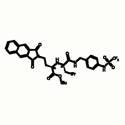 CC(C)C[C@H](N[C@H](CCN1C(=O)c2cc3ccccc3cc2C1=O)C(=O)OC(C)(C)C)C(=O)NCc1ccc(NS(=O)(=O)C(F)(F)F)cc1